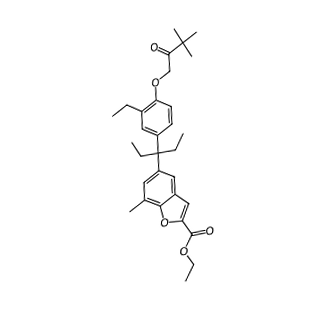 CCOC(=O)c1cc2cc(C(CC)(CC)c3ccc(OCC(=O)C(C)(C)C)c(CC)c3)cc(C)c2o1